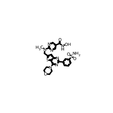 CN(Cc1cc2nc(-c3cccc(S(N)(=O)=O)c3)nc(N3CCOCC3)c2s1)c1ncc(C(=O)NO)cn1